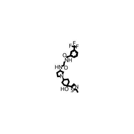 Cc1ncc(C2(O)CCC(N3CC[C@@H](NC(=O)CNC(=O)c4cccc(C(F)(F)F)c4)C3)CC2)s1